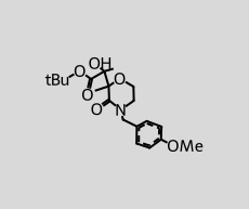 COc1ccc(CN2CCOC(C)(C(C)(O)C(=O)OC(C)(C)C)C2=O)cc1